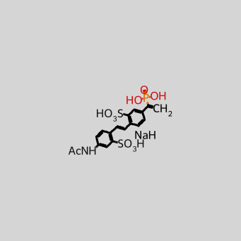 C=C(c1ccc(C=Cc2ccc(NC(C)=O)cc2S(=O)(=O)O)c(S(=O)(=O)O)c1)P(=O)(O)O.[NaH]